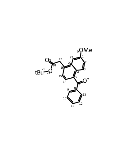 COc1ccc2c(C(=O)c3ccccc3)ccc(CC(=O)OC(C)(C)C)c2c1